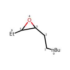 [CH2]CCCCCC1OC1CC